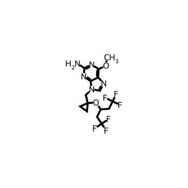 COc1nc(N)nc2c1ncn2CC1(OC(CC(F)(F)F)CC(F)(F)F)CC1